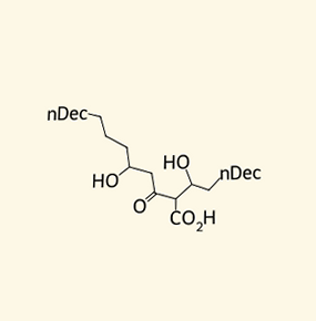 CCCCCCCCCCCCCC(O)CC(=O)C(C(=O)O)C(O)CCCCCCCCCCC